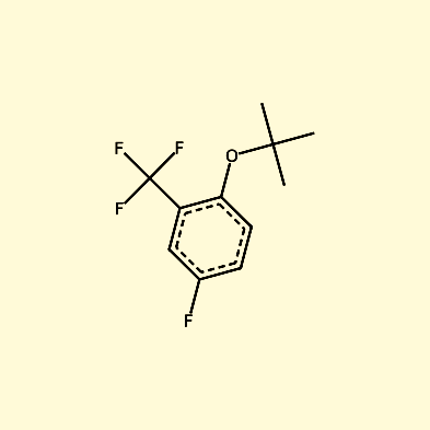 CC(C)(C)Oc1ccc(F)cc1C(F)(F)F